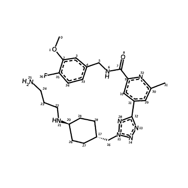 COc1cc(CNC(=O)c2cc(-c3nnn(C[C@H]4CC[C@H](NCCCN)CC4)n3)cc(C)n2)ccc1F